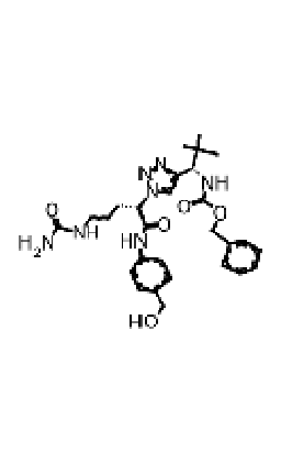 CC(C)(C)[C@H](NC(=O)OCc1ccccc1)c1cn([C@@H](CCCNC(N)=O)C(=O)Nc2ccc(CO)cc2)nn1